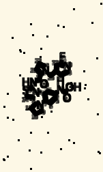 O=C(O)Nc1ccc(N2CCC[C@@H]2c2csc(NC(=O)c3cccn3Cc3ccnc(F)c3)n2)cc1